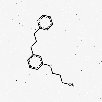 CCCCOc1cccc(OCCc2ccccn2)c1